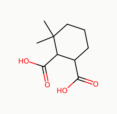 CC1(C)CCCC(C(=O)O)C1C(=O)O